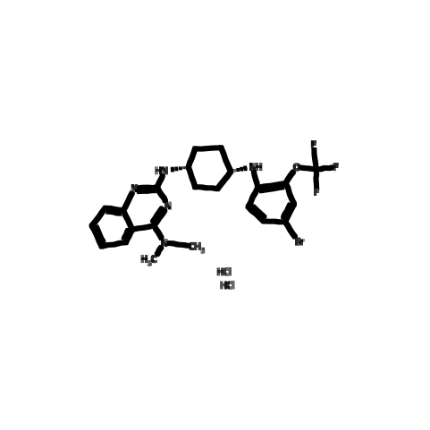 CN(C)c1nc(N[C@H]2CC[C@@H](Nc3ccc(Br)cc3OC(F)(F)F)CC2)nc2ccccc12.Cl.Cl